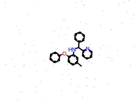 Cc1ccc(Oc2ccccc2)c(NC(c2ccccc2)c2ccccn2)c1